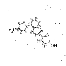 C[C@H](CO)NC(=O)c1cnc2c(-c3ccc(C(F)(F)F)cc3)cccc2n1